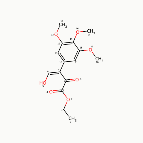 CCOC(=O)C(=O)C(=CO)c1cc(OC)c(OC)c(OC)c1